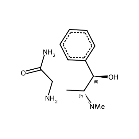 CN[C@H](C)[C@H](O)c1ccccc1.NCC(N)=O